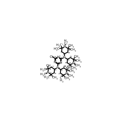 CN1C(C)(C)CC(N(c2nc(Cl)nc(N(C3CC(C)(C)N(C)C(C)(C)C3)C3CC(C)(C)N(C)C(C)(C)C3)n2)C2CC(C)(C)N(C)C(C)(C)C2)CC1(C)C